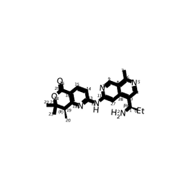 CC[C@@H](N)c1cnc(C)c2cnc(Nc3ccc4c(n3)[C@@H](C)C(C)(C)OC4=O)cc12